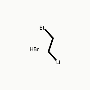 Br.[Li][CH2]CCC